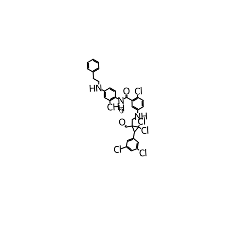 Cc1cc(NCCc2ccccc2)ccc1NC(=O)c1cc(NCC2(C=O)C(c3cc(Cl)cc(Cl)c3)C2(Cl)Cl)ccc1Cl